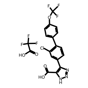 O=C(O)C(F)(F)F.O=C(O)c1[nH]nnc1-c1ccc(-c2ccc(OC(F)(F)F)cc2)c(Cl)c1